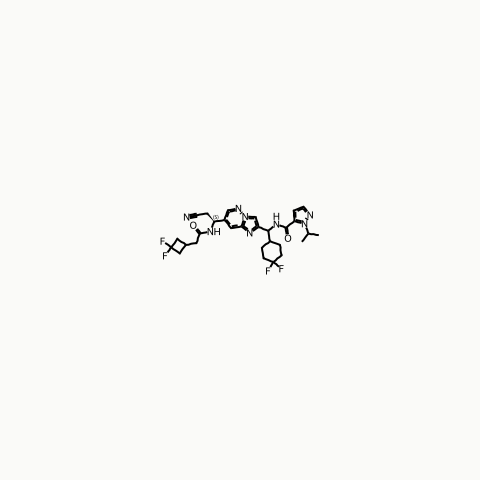 CC(C)n1nccc1C(=O)NC(c1cn2ncc([C@H](CC#N)NC(=O)CC3CC(F)(F)C3)cc2n1)C1CCC(F)(F)CC1